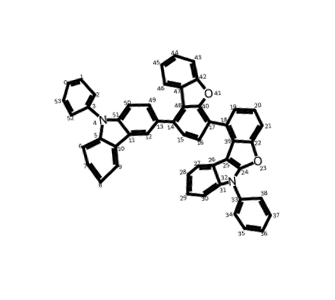 c1ccc(-n2c3ccccc3c3cc(-c4ccc(-c5cccc6oc7c(c8ccccc8n7-c7ccccc7)c56)c5oc6ccccc6c45)ccc32)cc1